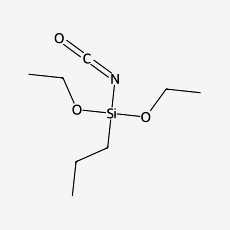 CCC[Si](N=C=O)(OCC)OCC